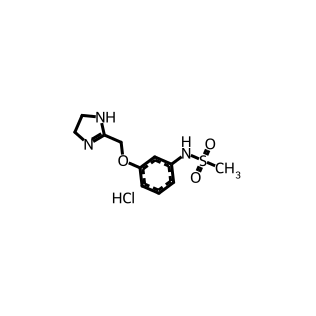 CS(=O)(=O)Nc1cccc(OCC2=NCCN2)c1.Cl